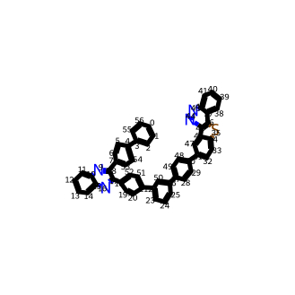 c1ccc(-c2ccc(-c3nc4ccccc4nc3-c3ccc(-c4cccc(-c5ccc(-c6ccc7sc8c9ccccc9nnc8c7c6)cc5)c4)cc3)cc2)cc1